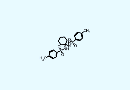 Cc1ccc(S(=O)(=O)NC2(NS(=O)(=O)c3ccc(C)cc3)CCCCC2)cc1